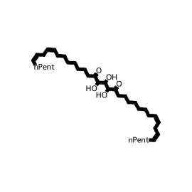 CCCCC/C=C\C/C=C\CCCCCCCC(=O)C(O)C(O)C(O)C(=O)CCCCCCC/C=C\C/C=C\CCCCC